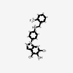 Oc1c(Cl)nc2c(cnn2-c2ccc(NCc3ccccc3C(F)(F)F)cc2)c1Cl